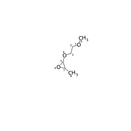 COCCOC1OC1C